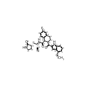 COc1cccc2[nH]c(C(=O)C3CCc4cc(F)ccc4C3C(=O)N[C@H](C#N)C[C@@H]3CCNC3=O)cc12